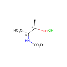 CCOC(=O)N[C@H](C(=O)O)[C@@H](C)O.Cl